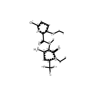 CCSc1ccc(Cl)nc1C(=O)N(C)c1c(N)cc(C(F)(F)F)n(CC)c1=O